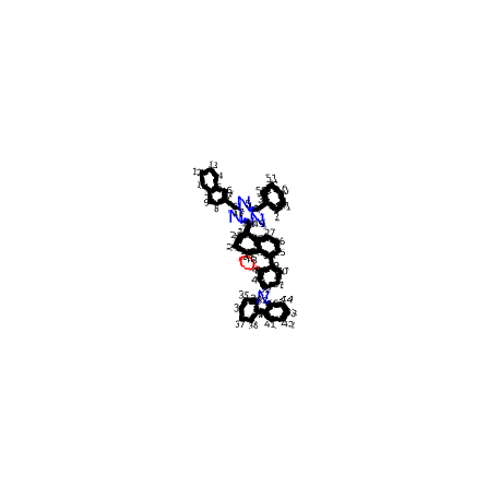 c1ccc(-c2nc(-c3ccc4ccccc4c3)nc(-c3ccc4c5c(cccc35)-c3ccc(-n5c6ccccc6c6ccccc65)cc3O4)n2)cc1